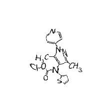 Cc1nn(-c2ccncc2)c(C)c1N(C(=O)OCl)c1cccs1